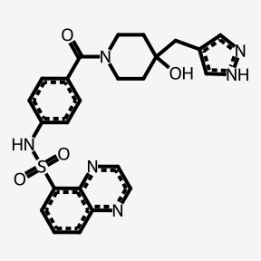 O=C(c1ccc(NS(=O)(=O)c2cccc3nccnc23)cc1)N1CCC(O)(Cc2cn[nH]c2)CC1